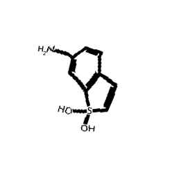 Nc1ccc2c(c1)S(O)(O)C=C2